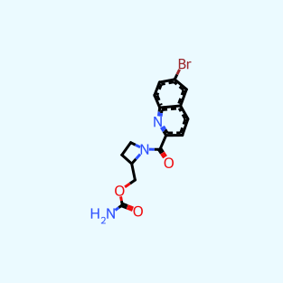 NC(=O)OCC1CCN1C(=O)c1ccc2cc(Br)ccc2n1